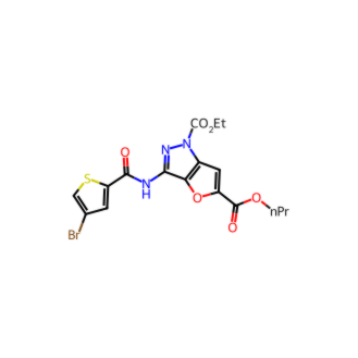 CCCOC(=O)c1cc2c(o1)c(NC(=O)c1cc(Br)cs1)nn2C(=O)OCC